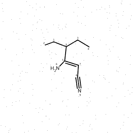 CCC(CC)C(N)=CC#N